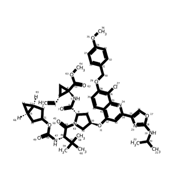 C=C[C@@H]1C[C@]1(NC(=O)[C@@H]1C[C@@H](Oc2cc(-c3coc(NC(C)C)n3)nc3c(Cl)c(OCc4ccc(OC)cc4)ccc23)CN1C(=O)[C@@H](NC(=O)OC1C[C@@H]2C[C@@H]2C1)C(C)(C)C)C(=O)OC